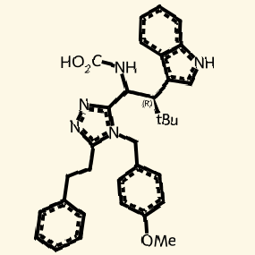 COc1ccc(Cn2c(CCc3ccccc3)nnc2C(NC(=O)O)[C@@H](c2c[nH]c3ccccc23)C(C)(C)C)cc1